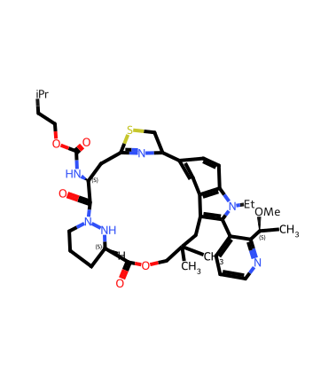 CCn1c(-c2cccnc2[C@H](C)OC)c2c3cc(ccc31)C1CSC(=N1)C[C@H](NC(=O)OCCC(C)C)C(=O)N1CCC[C@H](N1)C(=O)OCC(C)(C)C2